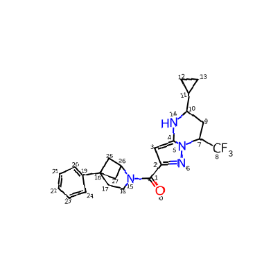 O=C(c1cc2n(n1)C(C(F)(F)F)CC(C1CC1)N2)N1CCC2(c3ccccc3)CC1C2